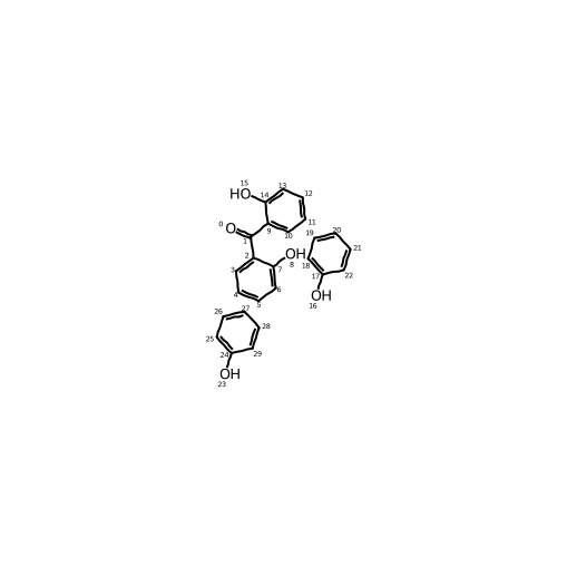 O=C(c1ccccc1O)c1ccccc1O.Oc1ccccc1.Oc1ccccc1